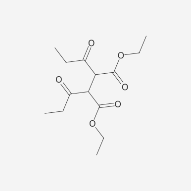 CCOC(=O)C(C(=O)CC)C(C(=O)CC)C(=O)OCC